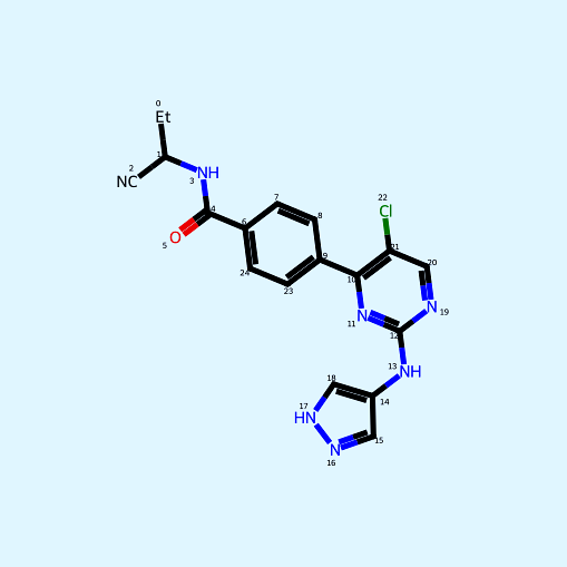 CCC(C#N)NC(=O)c1ccc(-c2nc(Nc3cn[nH]c3)ncc2Cl)cc1